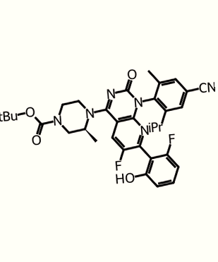 Cc1cc(C#N)cc(C(C)C)c1-n1c(=O)nc(N2CCN(C(=O)OC(C)(C)C)C[C@@H]2C)c2cc(F)c(-c3c(O)cccc3F)nc21